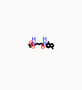 Cc1c(NC(=O)CCCCNS(=O)(=O)C(C)C)ccc2c1CCC2C